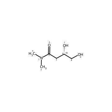 CN(C)C(=O)C[C@H](O)CO